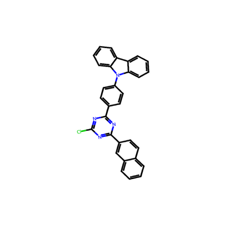 Clc1nc(-c2ccc(-n3c4ccccc4c4ccccc43)cc2)nc(-c2ccc3ccccc3c2)n1